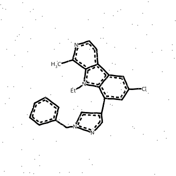 CCn1c2c(-c3cnn(Cc4ccccc4)c3)cc(Cl)cc2c2ccnc(C)c21